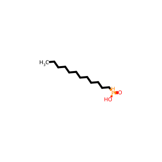 CCCCCCCCCCCC[PH](=O)O